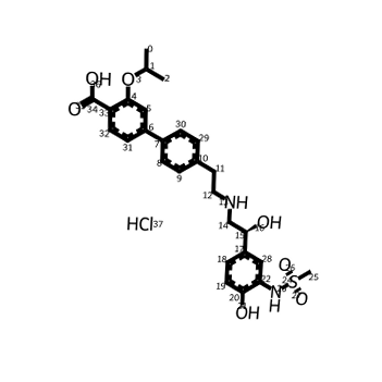 CC(C)Oc1cc(-c2ccc(CCNC[C@@H](O)c3ccc(O)c(NS(C)(=O)=O)c3)cc2)ccc1C(=O)O.Cl